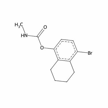 CNC(=O)Oc1ccc(Br)c2c1CCCC2